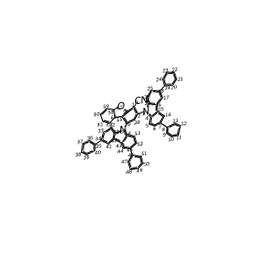 N#Cc1c(-n2c3ccc(-c4ccccc4)cc3c3cc(-c4ccccc4)ccc32)cc(-n2c3ccc(-c4ccccc4)cc3c3cc(-c4ccccc4)ccc32)c2c1OC1C=CC=CC21